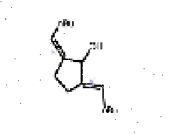 CCCC/C=C1/CC/C(=C\CCCC)C1O